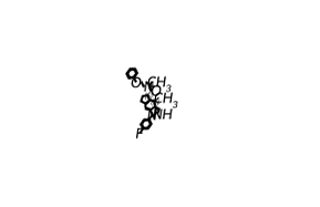 C[C@H]1C2=CNN(c3ccc(F)cc3)C2=CC2=C1[C@@H](C(=O)N(C)CCOc1ccccc1)CC2